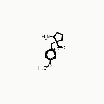 COc1ccc(C[C@]2(C(=O)O)CCC[C@@H]2N)cc1